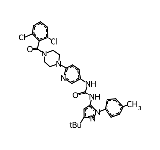 Cc1ccc(-n2nc(C(C)(C)C)cc2NC(=O)Nc2ccc(N3CCN(C(=O)c4c(Cl)cccc4Cl)CC3)nc2)cc1